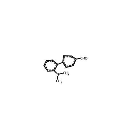 CN(C)c1ccccc1-c1ccc(C=O)cc1